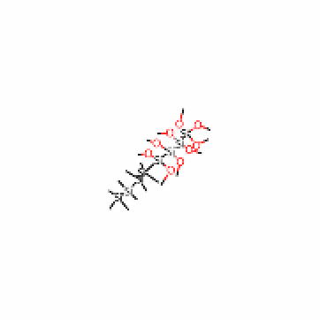 CO[Si](OC)(OC)[Si](OC)(OC)[Si](OC)(OC)[Si](OC)(OC)[Si](C)(C)[Si](C)(C)[Si](C)(C)[Si](C)(C)C